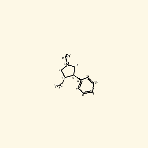 CC(C)N1C[C@@H](C)[C@H](c2ccccc2)C1